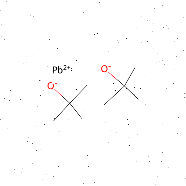 CC(C)(C)[O-].CC(C)(C)[O-].[Pb+2]